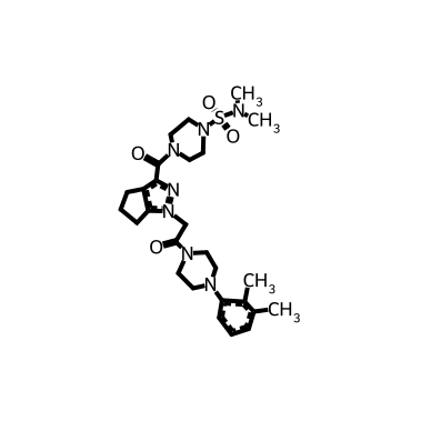 Cc1cccc(N2CCN(C(=O)Cn3nc(C(=O)N4CCN(S(=O)(=O)N(C)C)CC4)c4c3CCC4)CC2)c1C